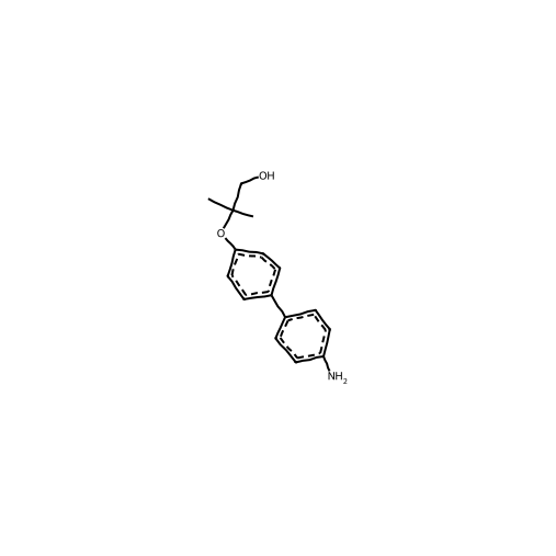 CC(C)(CO)Oc1ccc(-c2ccc(N)cc2)cc1